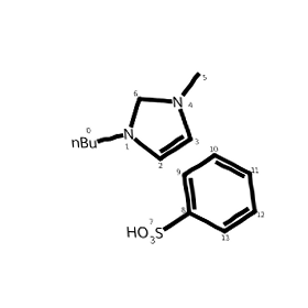 CCCCN1C=CN(C)C1.O=S(=O)(O)c1ccccc1